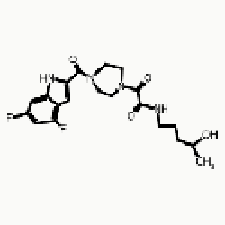 CC(O)CCCNC(=O)C(=O)N1CCN(C(=O)c2cc3c(F)cc(F)cc3[nH]2)CC1